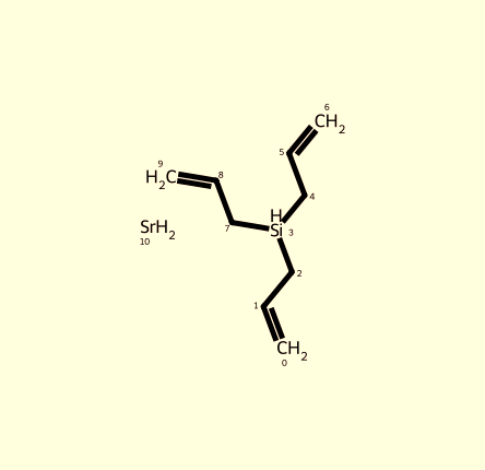 C=CC[SiH](CC=C)CC=C.[SrH2]